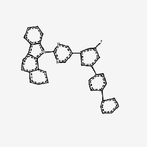 Fc1cc(-c2ccc(-c3ccccc3)cc2)cc(-c2cnc(-n3c4ccccc4c4ccc5ccccc5c43)nc2)c1